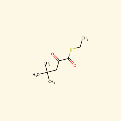 CCSC(=O)C(=O)CC(C)(C)C